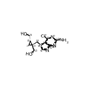 Nc1nc(Cl)c2c(ncn2C[C@@]2(CO)C[C@@H]2CO)n1